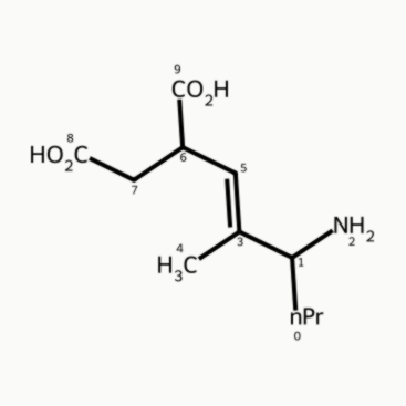 CCCC(N)/C(C)=C/C(CC(=O)O)C(=O)O